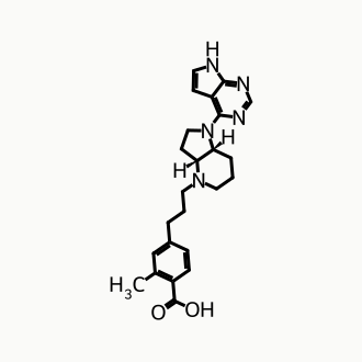 Cc1cc(CCCN2CCC[C@@H]3[C@H]2CCN3c2ncnc3[nH]ccc23)ccc1C(=O)O